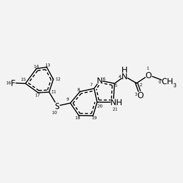 COC(=O)Nc1nc2cc(Sc3cccc(F)c3)ccc2[nH]1